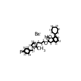 Cc1n(CCCOC(=O)Cc2cccc(C3CCCCCC3)c2O)cc[n+]1Cc1ccc(F)cc1.[Br-]